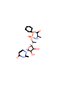 C=C1NC(=O)C=CN1[C@@H]1O[C@H](C(C)OP(=O)(NC(C)C(=O)OC)Oc2ccccc2)C(O)C1O